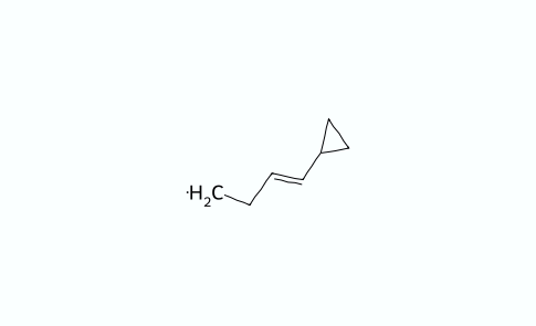 [CH2]C/C=C/C1CC1